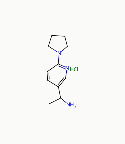 CC(N)c1ccc(N2CCCC2)nc1.Cl